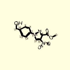 COC(=O)c1nn(-c2ccc(CO)cc2)cc1[N+](=O)[O-]